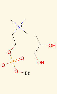 CC(O)CO.CCOP(=O)([O-])OCC[N+](C)(C)C